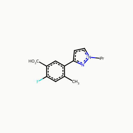 Cc1cc(F)c(C(=O)O)cc1-c1ccn(C(C)C)n1